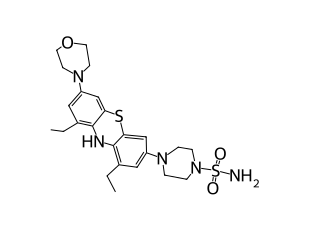 CCc1cc(N2CCOCC2)cc2c1Nc1c(CC)cc(N3CCN(S(N)(=O)=O)CC3)cc1S2